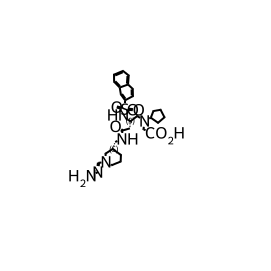 NN=CN1CCC[C@@H](CNC(=O)C[C@H](NS(=O)(=O)c2ccc3ccccc3c2)C(=O)N(CC(=O)O)C2CCCC2)C1